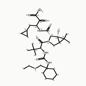 CCSCC1(NC(=O)N[C@H](C(=O)N2CC3[C@@H]([C@H]2C(=O)NC(CC2CC2)C(=O)C(N)=O)C3(C)C)C(C)(C)C)CCCCC1